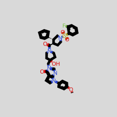 COc1ccc(-n2ccc3c(=O)n(CC4(O)CCN(C(=O)[C@@H]5CCN(S(=O)(=O)c6ccccc6F)C[C@H]5c5ccccc5)CC4)cnc32)cc1